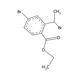 CCOC(=O)c1ccc(Br)cc1C(C)Br